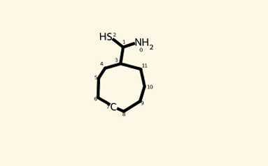 NC(S)C1CCCCCCCC1